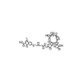 CC[C@H]1OC(=O)[C@H](C)[C@@H](O[C@H]2C[C@@](C)(OC)[C@@H](OC(=O)NCCNCCSc3ccc4c(c3)c(=O)c(C(=O)O)cn4CC)[C@H](C)O2)[C@H](C)[C@@H](O[C@@H]2O[C@H](C)C[C@H](N(C)C)[C@H]2O)[C@@]2(C)C[C@@H](CO2)C(=O)[C@H](C)[C@@H](O)[C@]1(C)O